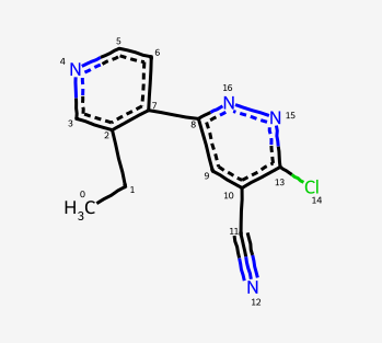 CCc1cnccc1-c1cc(C#N)c(Cl)nn1